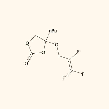 CCCCC1(OCC(F)=C(F)F)COC(=O)O1